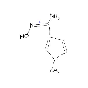 Cn1ccc(/C(N)=N\O)c1